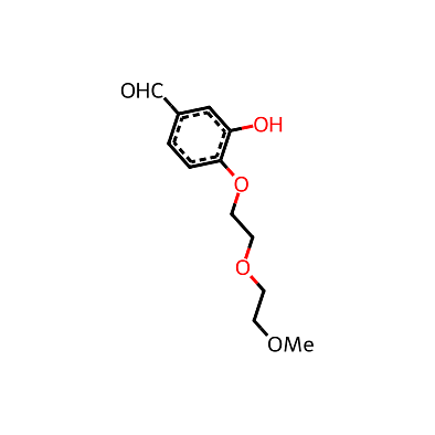 COCCOCCOc1ccc(C=O)cc1O